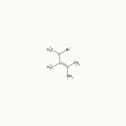 CC([SiH3])=C(C)C(C)Br